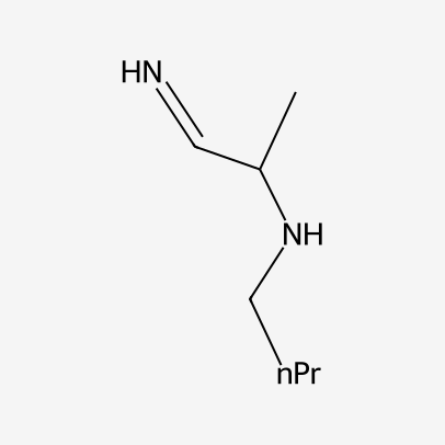 CCCCNC(C)C=N